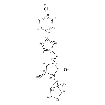 O=C1/C(=C/c2ccc(-c3ccc(Cl)cc3)s2)SC(=S)N1C1CC2CCC1C2